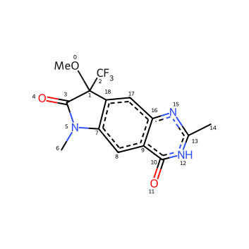 COC1(C(F)(F)F)C(=O)N(C)c2cc3c(=O)[nH]c(C)nc3cc21